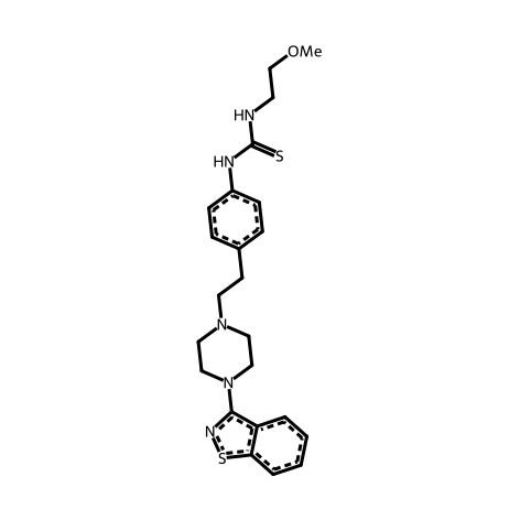 COCCNC(=S)Nc1ccc(CCN2CCN(c3nsc4ccccc34)CC2)cc1